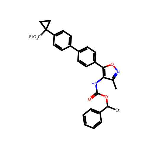 CCOC(=O)C1(c2ccc(-c3ccc(-c4onc(C)c4NC(=O)OC(CC)c4ccccc4)cc3)cc2)CC1